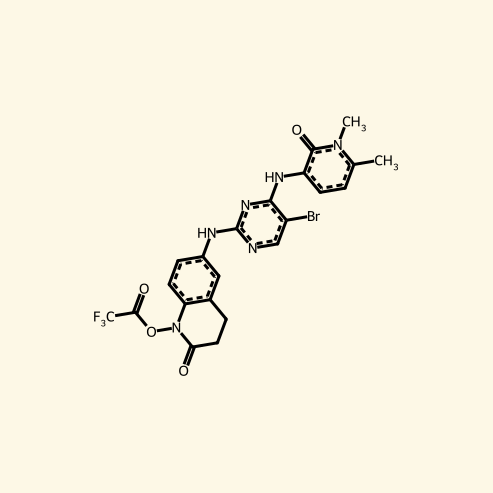 Cc1ccc(Nc2nc(Nc3ccc4c(c3)CCC(=O)N4OC(=O)C(F)(F)F)ncc2Br)c(=O)n1C